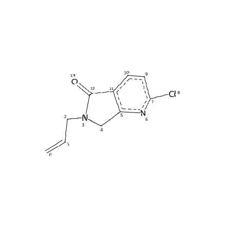 C=CCN1Cc2nc(Cl)ccc2C1=O